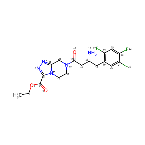 CCOC(=O)c1nnc2n1CCN(C(=O)C[C@H](N)Cc1cc(F)c(F)cc1F)C2